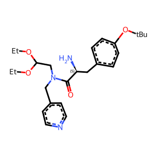 CCOC(CN(Cc1ccncc1)C(=O)[C@@H](N)Cc1ccc(OC(C)(C)C)cc1)OCC